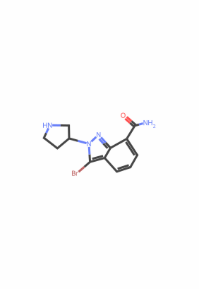 NC(=O)c1cccc2c(Br)n(C3CCNC3)nc12